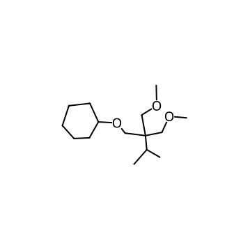 COCC(COC)(COC1CCCCC1)C(C)C